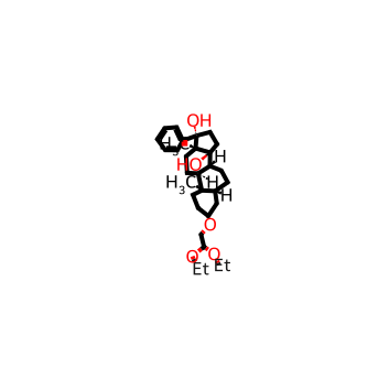 CCOC(CO[C@H]1CC[C@@]2(C)[C@H](CC[C@@H]3[C@@H]2CC[C@]2(C)[C@@](O)(c4ccccc4)CC[C@]32O)C1)OCC